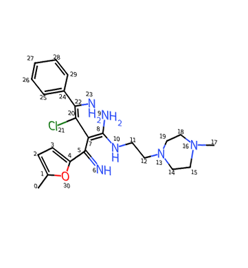 Cc1ccc(C(=N)C(=C(/N)NCCN2CCN(C)CC2)/C(Cl)=C(\N)c2ccccc2)o1